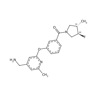 Cc1cc(CN)cc(Oc2cccc(C(=O)N3C[C@H](C)[C@@H](F)C3)c2)n1